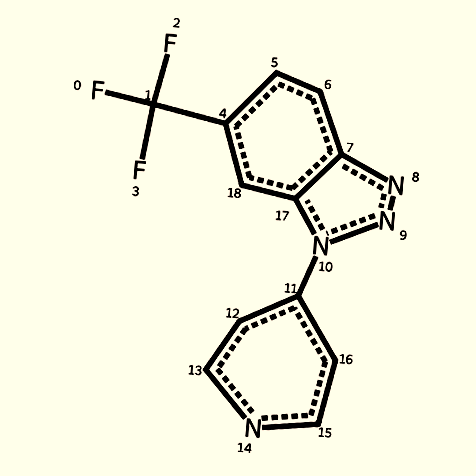 FC(F)(F)c1ccc2nnn(-c3ccncc3)c2c1